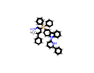 C/C(=C\C(=C/N)S(C1=CCCC=C1)(C1=Cc2c(n(C3=CC=CC(c4ccccc4)N3)c3ccccc23)CC1)c1ccccc1)C1=CCCC=C1